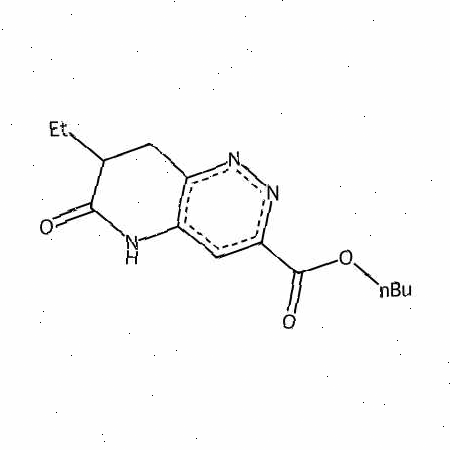 CCCCOC(=O)c1cc2c(nn1)CC(CC)C(=O)N2